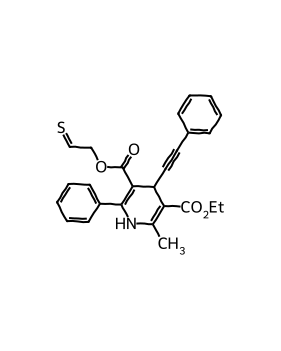 CCOC(=O)C1=C(C)NC(c2ccccc2)=C(C(=O)OCC=S)C1C#Cc1ccccc1